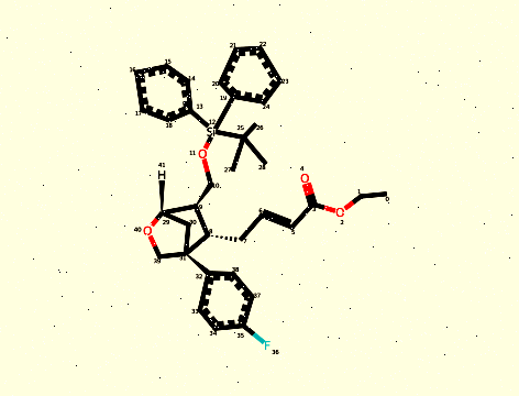 CCOC(=O)/C=C/C[C@H]1[C@H](CO[Si](c2ccccc2)(c2ccccc2)C(C)(C)C)[C@@H]2C[C@@]1(c1ccc(F)cc1)CO2